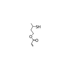 C=CC(=O)OCCC(C)S